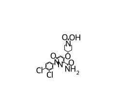 NC(=O)c1nn(-c2ccc(Cl)c(Cl)c2)c(=O)cc1OC1CCN(C(=O)O)CC1